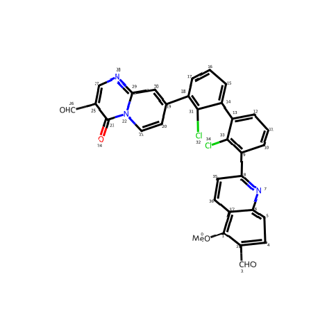 COc1c(C=O)ccc2nc(-c3cccc(-c4cccc(-c5ccn6c(=O)c(C=O)cnc6c5)c4Cl)c3Cl)ccc12